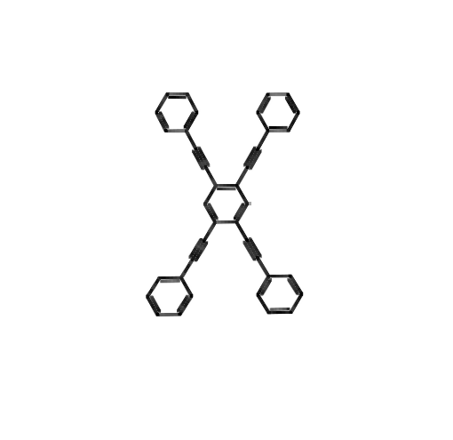 C(#Cc1[c]c(C#Cc2ccccc2)c(C#Cc2ccccc2)cc1C#Cc1ccccc1)c1ccccc1